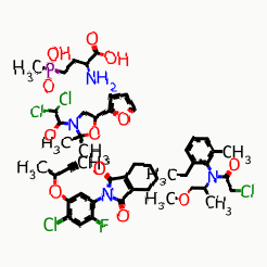 C#CC(C)Oc1cc(N2C(=O)C3=C(CCCC3)C2=O)c(F)cc1Cl.CC1(C)OC(c2ccco2)CN1C(=O)C(Cl)Cl.CCc1cccc(C)c1N(C(=O)CCl)C(C)COC.CP(=O)(O)CCC(N)C(=O)O